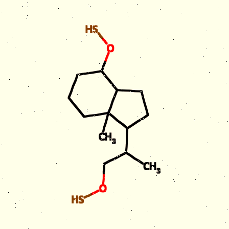 CC(COS)C1CCC2C(OS)CCCC12C